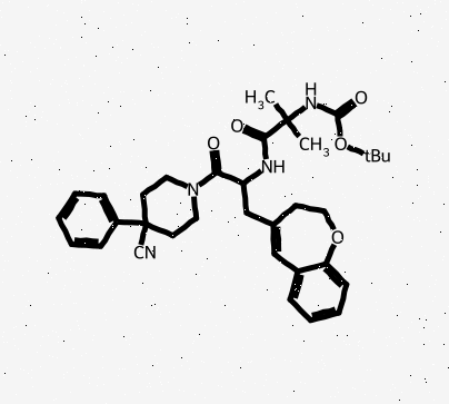 CC(C)(C)OC(=O)NC(C)(C)C(=O)NC(CC1=Cc2ccccc2OCC1)C(=O)N1CCC(C#N)(c2ccccc2)CC1